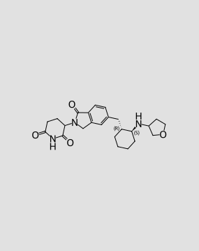 O=C1CCC(N2Cc3cc(C[C@H]4CCCC[C@@H]4NC4CCOC4)ccc3C2=O)C(=O)N1